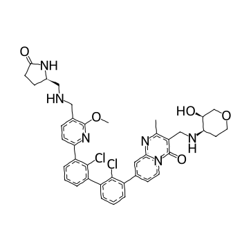 COc1nc(-c2cccc(-c3cccc(-c4ccn5c(=O)c(CN[C@@H]6CCOC[C@@H]6O)c(C)nc5c4)c3Cl)c2Cl)ccc1CNC[C@H]1CCC(=O)N1